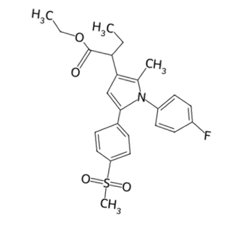 CCOC(=O)C(CC)c1cc(-c2ccc(S(C)(=O)=O)cc2)n(-c2ccc(F)cc2)c1C